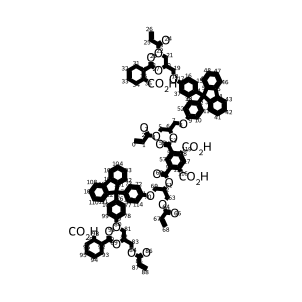 C=CC(=O)OCC(COc1ccc(C2(c3ccc(OCC(COC(=O)C=C)OC(=O)C4CC=CCC4C(=O)O)cc3)c3ccccc3-c3ccccc32)cc1)OC(=O)c1cc(C(=O)OC(COC(=O)C=C)COc2ccc(C3(c4ccc(OCC(COC(=O)C=C)OC(=O)C5CC=CCC5C(=O)O)cc4)c4ccccc4-c4ccccc43)cc2)c(C(=O)O)cc1C(=O)O